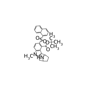 Cn1c2c(c3c(C(=O)OC(C)(C)C)c(S(=O)(=O)c4cccc5ccccc45)ccc31)C1CCC(C2)N1